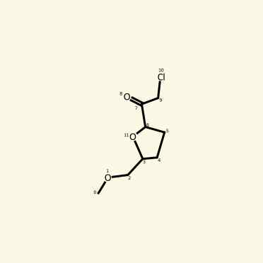 COCC1CCC(C(=O)CCl)O1